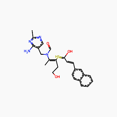 C/C(=C(CCO)/[SH]=C(O)\C=C\c1ccc2ccccc2c1)N(C=O)Cc1cnc(C)nc1N